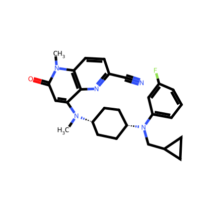 Cn1c(=O)cc(N(C)[C@H]2CC[C@@H](N(CC3CC3)c3cccc(F)c3)CC2)c2nc(C#N)ccc21